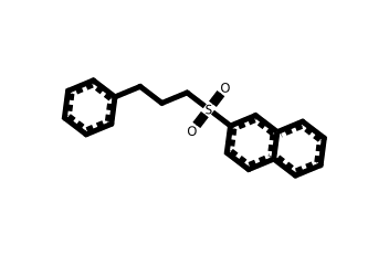 O=S(=O)(CCCc1ccccc1)c1ccc2ccccc2c1